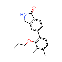 CCCOc1c(-c2ccc3c(c2)CNC3=O)ccc(C)c1C